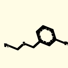 CC(C)CSCc1cccc(C(C)C)c1